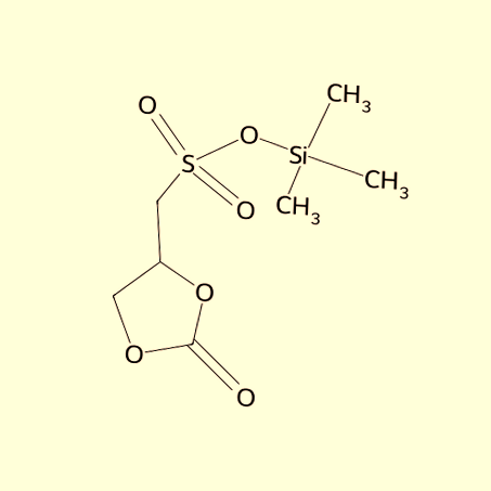 C[Si](C)(C)OS(=O)(=O)CC1COC(=O)O1